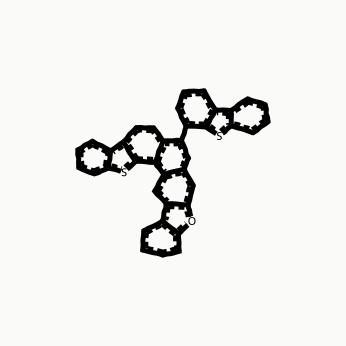 c1ccc2c(c1)oc1cc3cc(-c4cccc5c4sc4ccccc45)c4ccc5c6ccccc6sc5c4c3cc12